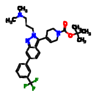 CN(C)CCCn1nc2cc(-c3cccc(C(F)(F)F)c3)ccc2c1C1=CCN(C(=O)OC(C)(C)C)CC1